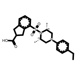 CCc1ccc(N2C[C@@H](C)N(S(=O)(=O)c3cccc4c3CC(C(=O)O)C4)[C@@H](C)C2)cc1